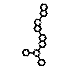 c1ccc(-c2nc(-c3ccccc3)nc(-c3ccc4ccc(-c5ccc6ccc(-c7ccc8ccccc8c7)nc6c5)cc4n3)n2)cc1